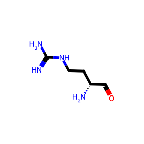 N=C(N)NCC[C@@H](N)C=O